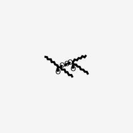 CCCCCCCC=C(C=O)C(CCCCCCC)OCOCOC(CCCCCCC)C(C=O)=CCCCCCCC